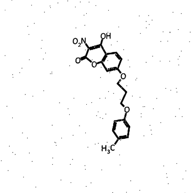 Cc1ccc(OCCCOc2ccc3c(O)c([N+](=O)[O-])c(=O)oc3c2)cc1